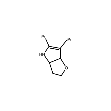 CC(C)C1=C(C(C)C)C2OCCC2N1